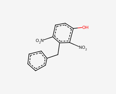 O=[N+]([O-])c1ccc(O)c([N+](=O)[O-])c1Cc1ccccc1